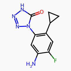 Nc1cc(-n2nn[nH]c2=O)c(C2CC2)cc1F